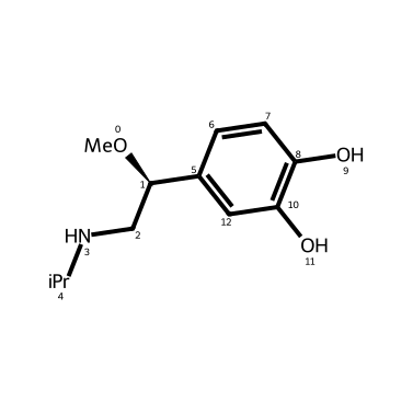 CO[C@H](CNC(C)C)c1ccc(O)c(O)c1